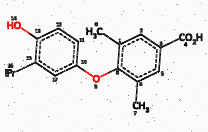 Cc1cc(C(=O)O)cc(C)c1Oc1ccc(O)c(C(C)C)c1